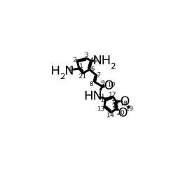 Nc1ccc(N)c(C=CC(=O)Nc2ccc3c(c2)OCO3)c1